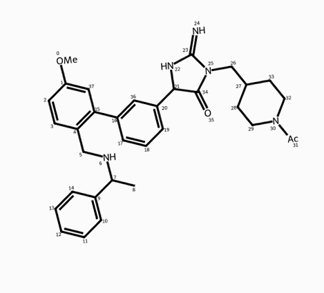 COc1ccc(CNC(C)c2ccccc2)c(-c2cccc(C3NC(=N)N(CC4CCN(C(C)=O)CC4)C3=O)c2)c1